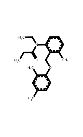 CCC(=O)N(CC)c1cccc(C)c1COc1ccc(C)cc1C